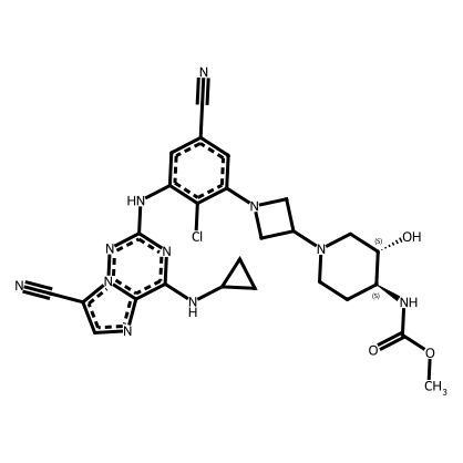 COC(=O)N[C@H]1CCN(C2CN(c3cc(C#N)cc(Nc4nc(NC5CC5)c5ncc(C#N)n5n4)c3Cl)C2)C[C@@H]1O